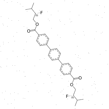 CC(C)[C@H](F)COC(=O)c1ccc(-c2ccc(-c3ccc(C(=O)OC[C@@H](F)C(C)C)cc3)cc2)cc1